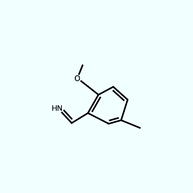 COc1ccc(C)cc1C=N